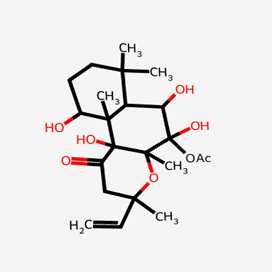 C=CC1(C)CC(=O)C2(O)C3(C)C(O)CCC(C)(C)C3C(O)C(O)(OC(C)=O)C2(C)O1